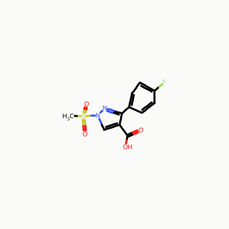 CS(=O)(=O)n1cc(C(=O)O)c(-c2ccc(F)cc2)n1